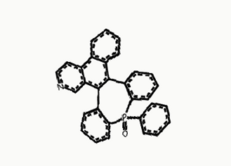 O=P1(c2ccccc2)c2ccccc2-c2c(c3cnccc3c3ccccc23)-c2ccccc21